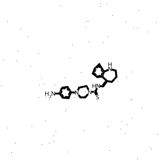 Nc1ccc(N2CCN(C(=S)N/C=C3/CCCNc4ccccc43)CC2)cc1